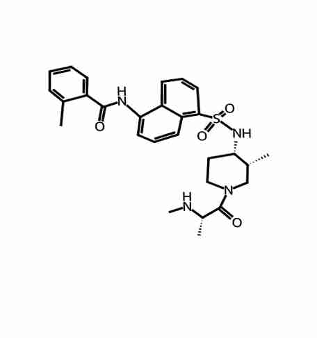 CN[C@@H](C)C(=O)N1CC[C@H](NS(=O)(=O)c2cccc3c(NC(=O)c4ccccc4C)cccc23)[C@H](C)C1